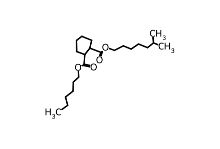 CCCCCCOC(=O)C1CCCCC1C(=O)OCCCCCC(C)C